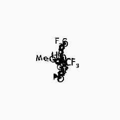 COc1ccc(-n2nc(C(F)(F)F)c3c2C(=O)N(c2ccc(C(=O)N(C)C)cc2)CC3)c(C(=O)NCc2cccc(OC(F)(F)F)c2)c1